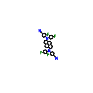 N#Cc1ccc(N(c2ccc(F)cc2F)c2ccc3ccc4c(N(c5ccc(C#N)cc5)c5ccc(F)cc5F)ccc5ccc2c3c54)cc1